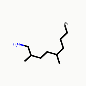 CC(C)CCCC(C)CCC(C)CN